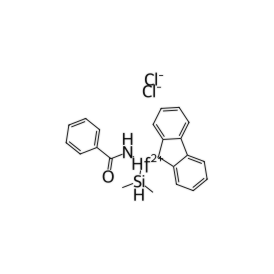 C[SiH](C)[Hf+2]([NH]C(=O)c1ccccc1)[CH]1c2ccccc2-c2ccccc21.[Cl-].[Cl-]